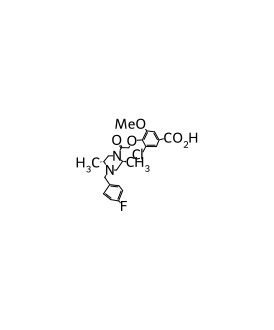 COc1cc(C(=O)O)cc(Cl)c1OCC(=O)N1C[C@@H](C)N(Cc2ccc(F)cc2)C[C@@H]1C